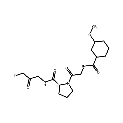 O=C(CF)CNC(=O)[C@@H]1CCCN1C(=O)CNC(=O)C1CCCC(OC(F)(F)F)C1